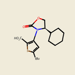 CC(C)(C)c1cc(N2C(=O)OC[C@H]2C2CCCCC2)c(C(=O)O)s1